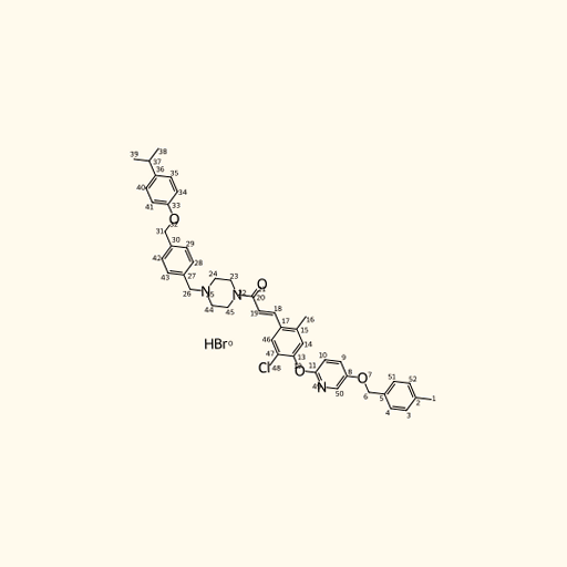 Br.Cc1ccc(COc2ccc(Oc3cc(C)c(/C=C/C(=O)N4CCN(Cc5ccc(COc6ccc(C(C)C)cc6)cc5)CC4)cc3Cl)nc2)cc1